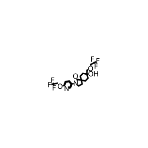 O=C1N(c2ccc(OCC(F)(F)F)nc2)CCC12CCC(O)(COCC(F)(F)F)CC2